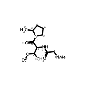 CCOC(C)C(NC(=O)CNC)C(=O)N1CCCC1C